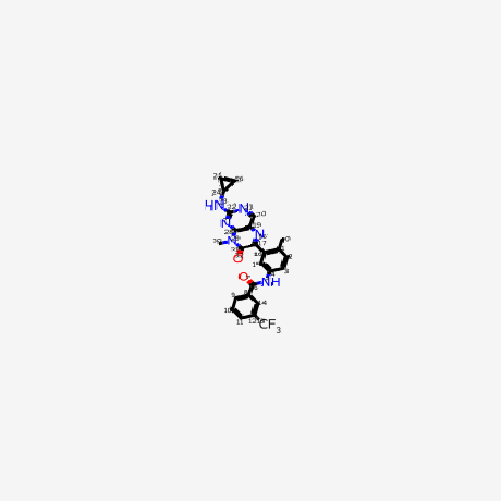 Cc1ccc(NC(=O)c2cccc(C(F)(F)F)c2)cc1-c1nc2cnc(NC3CC3)nc2n(C)c1=O